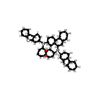 c1ccc(N(c2ccc3c(c2)oc2ccccc23)c2ccc3c(c2)c(N(c2ccccc2)c2ccc4c(c2)sc2ccccc24)cc2ccccc23)cc1